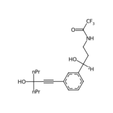 [2H]C(O)(CCNC(=O)C(F)(F)F)c1cccc(C#CC(O)(CCC)CCC)c1